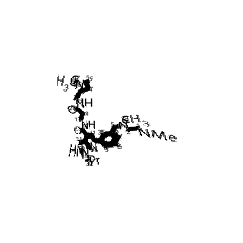 CNCCN(C)Cc1cccc(-c2cc(C(=O)NCCC(=O)NCC3CCN3C)c3c(n2)N(C(C)C)NC3)c1